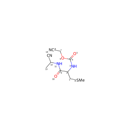 CSCC(NC(=O)OCC#N)C(=O)NC(C)C#N